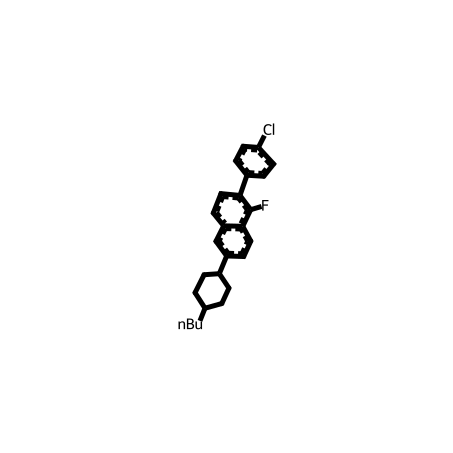 CCCCC1CCC(c2ccc3c(F)c(-c4ccc(Cl)cc4)ccc3c2)CC1